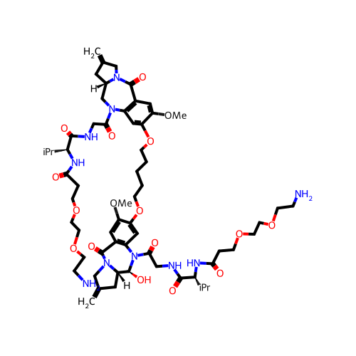 C=C1C[C@H]2CN(C(=O)CNC(=O)[C@@H](NC(=O)CCOCCOCCN)C(C)C)c3cc(OCCCCCOc4cc5c(cc4OC)C(=O)N4CC(=C)C[C@H]4[C@H](O)N5C(=O)CNC(=O)[C@@H](NC(=O)CCOCCOCCN)C(C)C)c(OC)cc3C(=O)N2C1